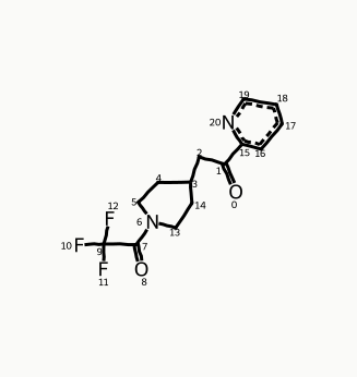 O=C(CC1CCN(C(=O)C(F)(F)F)CC1)c1ccccn1